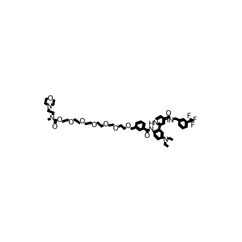 CCN(CC)c1ccc(NC(=O)c2cccc(COCCOCCOCCOCCOCCOCCOC(=O)N(C)CCN3CCOCC3)c2)c(-c2cc(C(=O)NCc3cccc(C(F)(F)F)c3)ccn2)c1